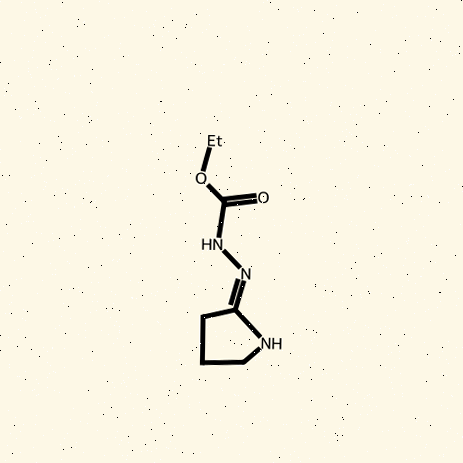 CCOC(=O)N/N=C1\CCCN1